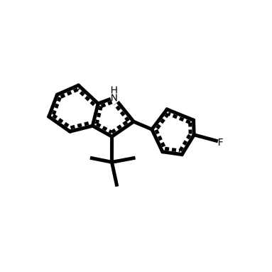 CC(C)(C)c1c(-c2ccc(F)cc2)[nH]c2ccccc12